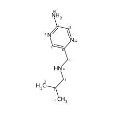 CC(C)CNCc1cnc(N)cn1